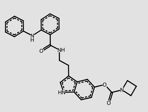 O=C(NCCc1c[nH]c2ccc(OC(=O)N3CCC3)cc12)c1ccccc1Nc1ccccc1